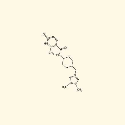 Cc1cn(CC2CCC(NC(=O)c3ccc(=O)[nH]c3C)CC2)nc1C